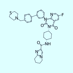 O=C(N[C@H]1CC[C@@H](n2c(=O)c3cc(F)cnc3n(-c3cccc(-c4ccc(CN5CCSCC5)cc4)c3)c2=O)CC1)c1cn2c(n1)CCCC2